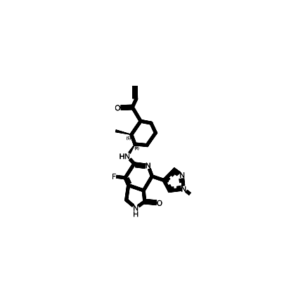 C=CC(=O)C1CCC[C@@H](NC2=NC(c3cnn(C)c3)C3C(=O)NCC3=C2F)[C@H]1C